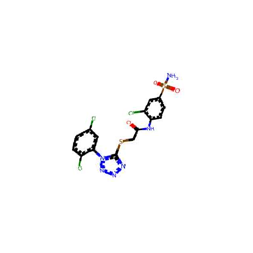 NS(=O)(=O)c1ccc(NC(=O)CSc2nnnn2-c2cc(Cl)ccc2Cl)c(Cl)c1